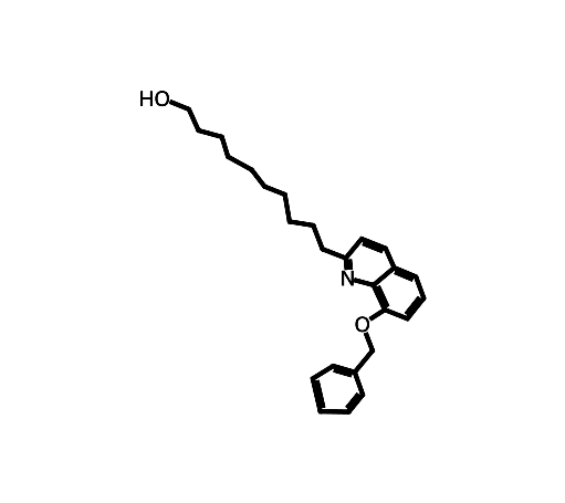 OCCCCCCCCCCc1ccc2cccc(OCc3ccccc3)c2n1